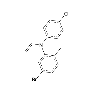 C=CN(c1ccc(Cl)cc1)c1cc(Br)ccc1C